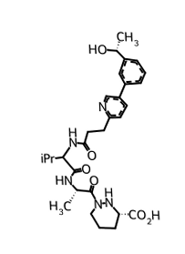 CC(C)C(NC(=O)CCc1ccc(-c2cccc([C@@H](C)O)c2)cn1)C(=O)N[C@@H](C)C(=O)N1CCC[C@@H](C(=O)O)N1